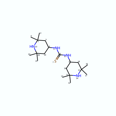 CC1(C)CC(NC(=S)NC2CC(C)(C)NC(C)(C)C2)CC(C)(C)N1